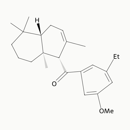 CCc1cc(OC)cc(C(=O)[C@H]2C(C)=CC[C@H]3C(C)(C)CCC[C@]23C)c1